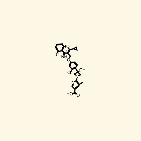 Cc1cc(C(=O)O)cnc1N1CC(O)(c2ccc(OC/C(C(=N)c3c(C)cccc3Cl)=C(/O)C3CC3)cc2Cl)C1